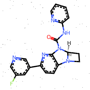 O=C(Nc1ccccn1)N1c2nc(-c3cncc(F)c3)ccc2N2CC[C@@H]21